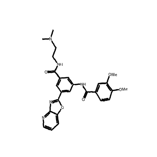 COc1ccc(C(=O)Nc2cc(C(=O)NCCN(C)C)cc(-c3nc4ncccc4o3)c2)cc1OC